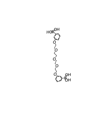 OB(O)c1cccc(OCCOCCOCCOCCOc2cccc(B(O)O)c2)c1